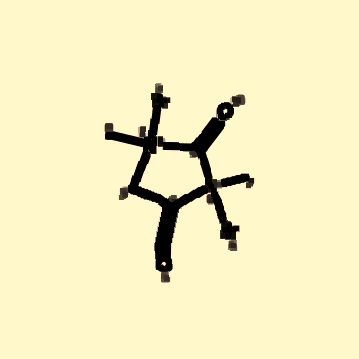 C[N+]1(Br)CC(=O)[N+](C)(Br)C1=O